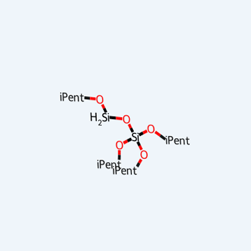 CCCC(C)O[SiH2]O[Si](OC(C)CCC)(OC(C)CCC)OC(C)CCC